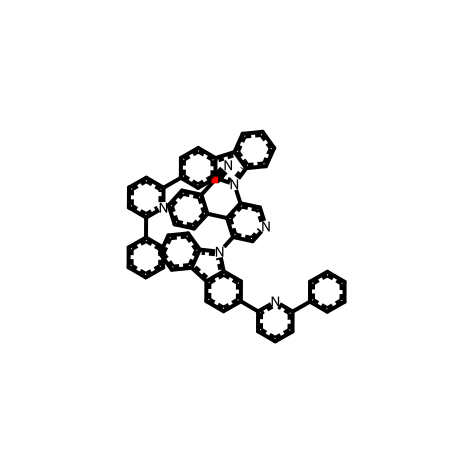 N#Cc1ccccc1-c1c(-n2c3ccccc3c3ccc(-c4cccc(-c5ccccc5)n4)cc32)cncc1-n1c2ccccc2c2ccc(-c3cccc(-c4ccccc4)n3)cc21